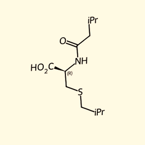 CC(C)CSC[C@H](NC(=O)CC(C)C)C(=O)O